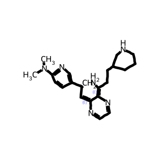 C=C(/C=c1/nccn/c1=C(/N)CCC1CCCNC1)c1ccc(N(C)C)nc1